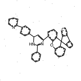 C1=C(c2cccc3c2Oc2ccccc2C32c3ccccc3-c3ccccc32)N=C(c2ccccc2)NC1c1ccc(-c2ccccn2)cc1